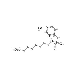 CCCCCCCCCCCCCCCCCOS(=O)(=O)Cc1ccccc1.[Co]